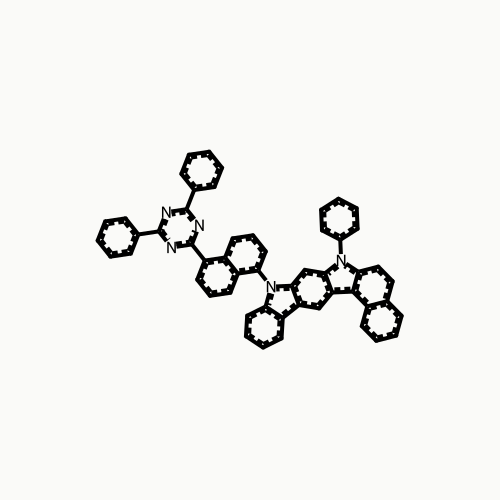 c1ccc(-c2nc(-c3ccccc3)nc(-c3cccc4c(-n5c6ccccc6c6cc7c8c9ccccc9ccc8n(-c8ccccc8)c7cc65)cccc34)n2)cc1